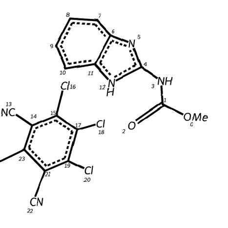 COC(=O)Nc1nc2ccccc2[nH]1.N#Cc1c(Cl)c(Cl)c(Cl)c(C#N)c1Cl